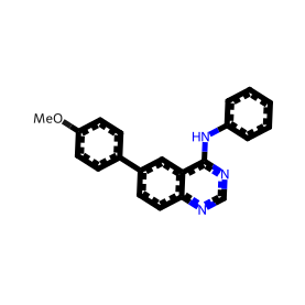 COc1ccc(-c2ccc3ncnc(Nc4ccccc4)c3c2)cc1